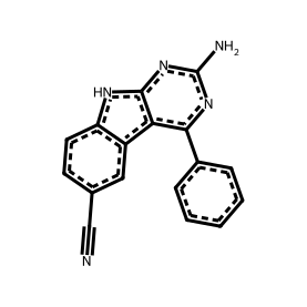 N#Cc1ccc2[nH]c3nc(N)nc(-c4ccccc4)c3c2c1